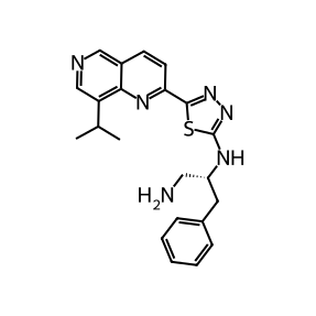 CC(C)c1cncc2ccc(-c3nnc(N[C@@H](CN)Cc4ccccc4)s3)nc12